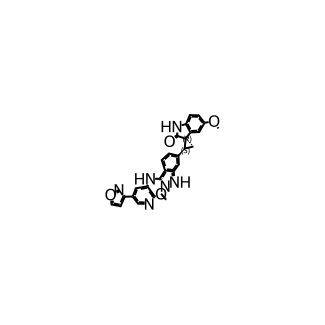 COc1ccc2c(c1)[C@]1(C[C@H]1c1ccc3c(Nc4cc(-c5ccon5)cnc4OC)n[nH]c3c1)C(=O)N2